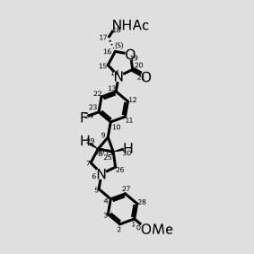 COc1ccc(CN2C[C@@H]3C(c4ccc(N5C[C@H](CNC(C)=O)OC5=O)cc4F)[C@@H]3C2)cc1